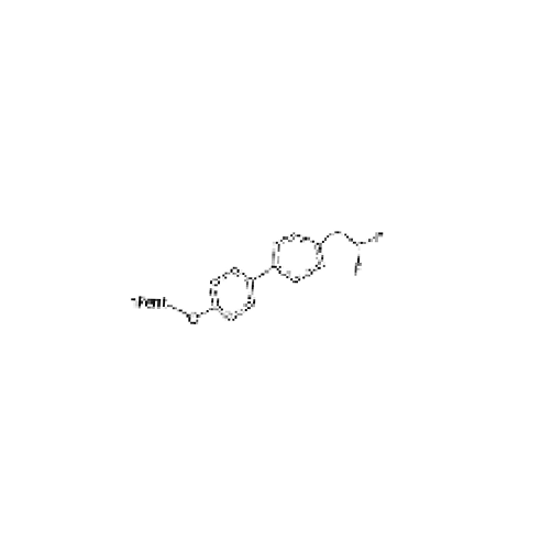 CCCCCOc1ccc(-c2ccc(CC(F)F)cc2)cc1